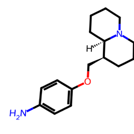 Nc1ccc(OC[C@@H]2CCCN3CCCC[C@H]23)cc1